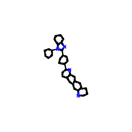 c1ccc(-n2c(-c3ccc(-c4ccc5cc6cc7ncccc7cc6cc5n4)cc3)nc3ccccc32)cc1